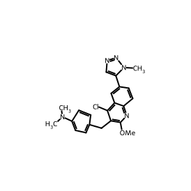 COc1nc2ccc(-c3cnnn3C)cc2c(Cl)c1Cc1ccc(N(C)C)cc1